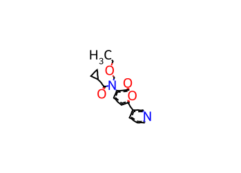 CCOCN(C(=O)C1CC1)c1ccc(-c2cccnc2)oc1=O